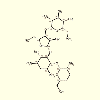 NC[C@@H]1O[C@H](O[C@H]2[C@@H](O)[C@H](O[C@@H]3[C@@H](O)[C@H](N)C[C@H](N)[C@H]3O[C@H]3O[C@H](CO)CC[C@H]3N)O[C@@H]2CO)[C@H](N)[C@@H](O)[C@@H]1O